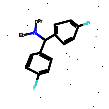 CCCN(CC)C(c1ccc(F)cc1)c1ccc(F)cc1